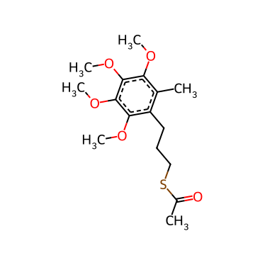 COc1c(C)c(CCCSC(C)=O)c(OC)c(OC)c1OC